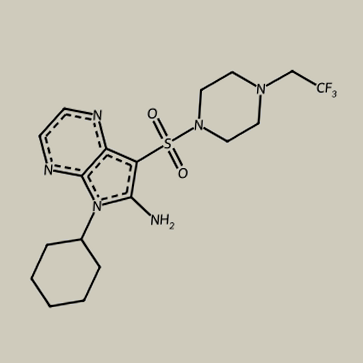 Nc1c(S(=O)(=O)N2CCN(CC(F)(F)F)CC2)c2nccnc2n1C1CCCCC1